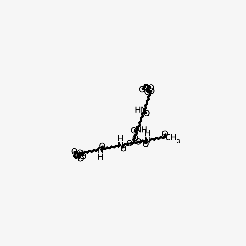 CC(=O)CCCCCCCNC(=O)CCOCC(COCCC(=O)NCCCCCCCC(=O)NCCCCCCCC(=O)ON1C(=O)CCC1=O)COCCC(=O)NCCCCCCCC(=O)NCCCCCCCC(=O)ON1C(=O)CCC1=O